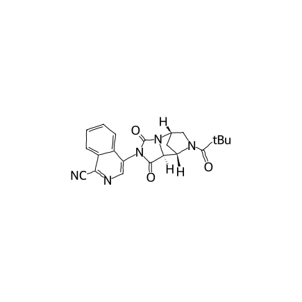 CC(C)(C)C(=O)N1C[C@@H]2C[C@H]1[C@H]1C(=O)N(c3cnc(C#N)c4ccccc34)C(=O)N21